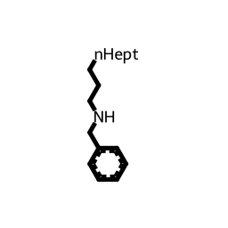 CCCCCCCCCCNCc1ccccc1